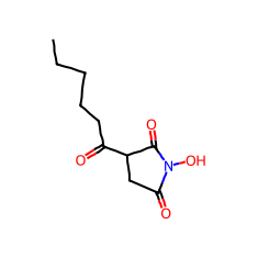 CCCCCC(=O)C1CC(=O)N(O)C1=O